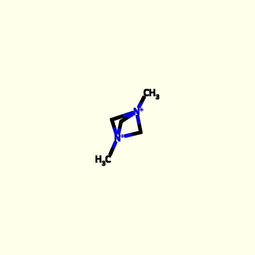 C[N+]12C[N+](C)(C1)C2